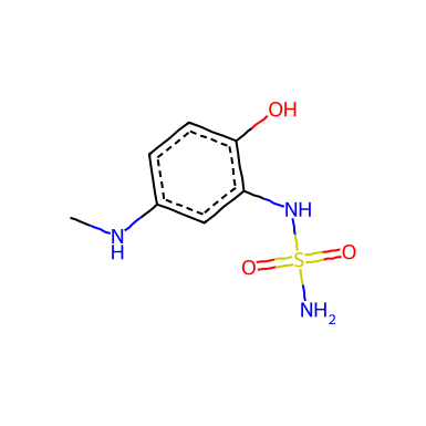 CNc1ccc(O)c(NS(N)(=O)=O)c1